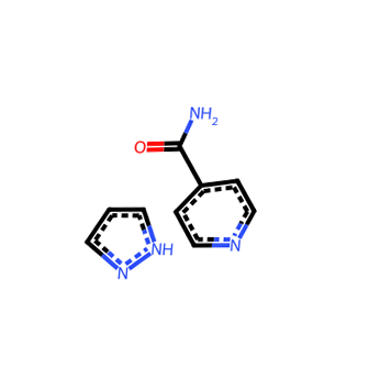 NC(=O)c1ccncc1.c1cn[nH]c1